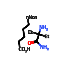 CCC(N)(CC)C(N)=O.CCCCCCCCCCCCCC(=O)O